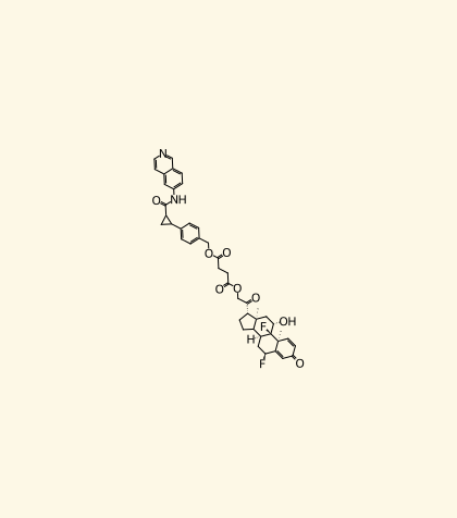 C[C@]12C[C@H](O)[C@@]3(F)[C@@H](C[C@H](F)C4=CC(=O)C=C[C@@]43C)C1CC[C@@H]2C(=O)COC(=O)CCC(=O)OCc1ccc(C2CC2C(=O)Nc2ccc3cnccc3c2)cc1